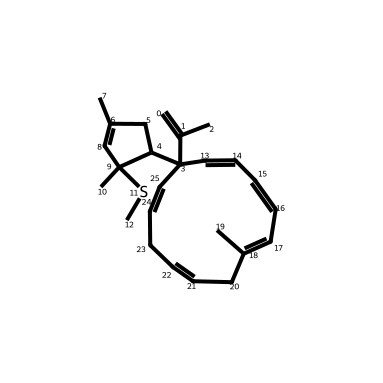 C=C(C)C1(C2CC(C)=CC2(C)SC)C=C/C=C\C=C(/C)C/C=C\CC=C1